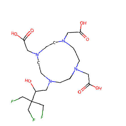 O=C(O)CN1CCN(CC(=O)O)CCN(CC(O)C(CF)(CF)CF)CCN(CC(=O)O)CC1